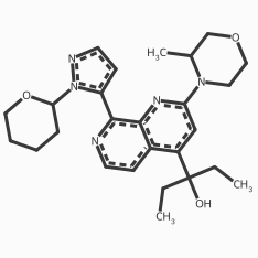 CCC(O)(CC)c1cc(N2CCOCC2C)nc2c(-c3ccnn3C3CCCCO3)nccc12